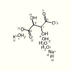 O.O.O.O.O=C([O-])C(O)C(O)C(=O)[O-].[H].[K+].[Na+]